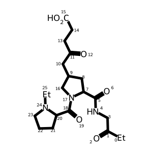 CCC(=O)CNC(=O)C1CC(CC(=O)CCC(=O)O)CN1C(=O)C1CCCN1CC